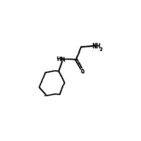 NCC(=O)NC1CC[CH]CC1